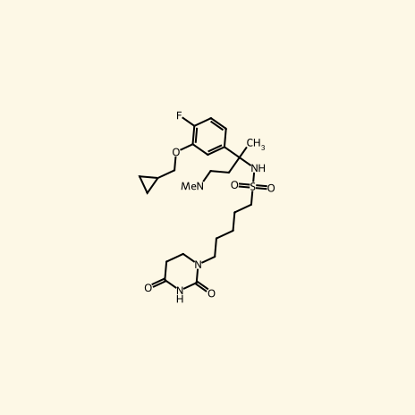 CNCCC(C)(NS(=O)(=O)CCCCCN1CCC(=O)NC1=O)c1ccc(F)c(OCC2CC2)c1